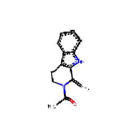 C=C1c2[nH]c3ccccc3c2CCN1C(C)=O